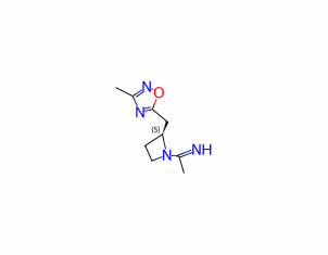 CC(=N)N1CC[C@H]1Cc1nc(C)no1